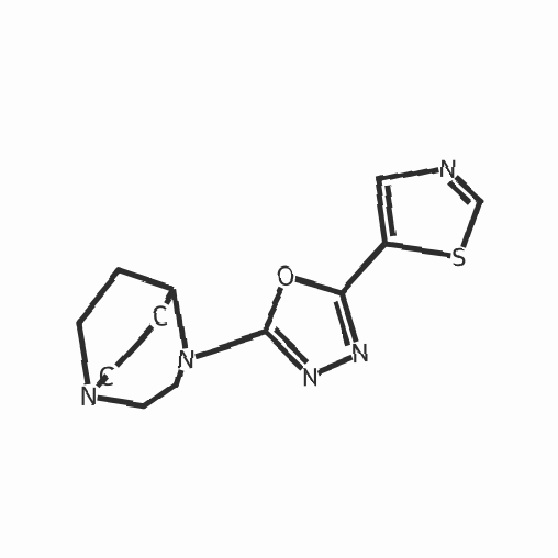 c1ncc(-c2nnc(N3CCN4CCC3CC4)o2)s1